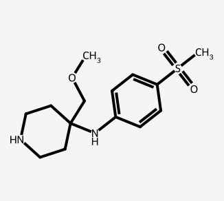 COCC1(Nc2ccc(S(C)(=O)=O)cc2)CCNCC1